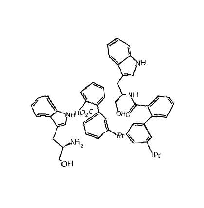 CC(C)c1cccc(-c2ccccc2C(=O)N[C@@H](CO)Cc2c[nH]c3ccccc23)c1.CC(C)c1cccc(-c2ccccc2C(=O)O)c1.N[C@@H](CO)Cc1c[nH]c2ccccc12